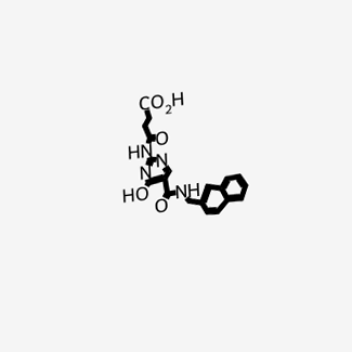 O=C(O)CCC(=O)Nc1ncc(C(=O)NCc2ccc3ccccc3c2)c(O)n1